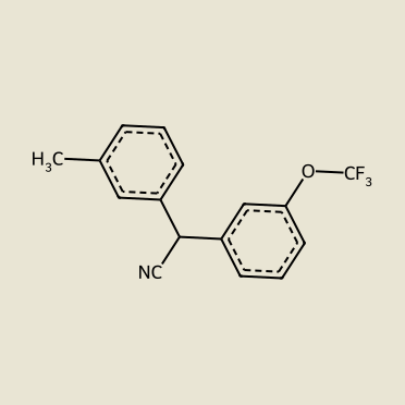 Cc1cccc(C(C#N)c2cccc(OC(F)(F)F)c2)c1